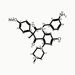 COc1ccc(C2(C)C(=O)c3c(N4CCN(C)CC4)cc(Cl)cc3N(Cc3cccc(N)c3)C2=O)cc1